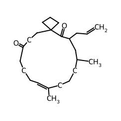 C=CCC1CC(C)CCC/C(C)=C/CCCC(=O)CCC2(CCC2)C1=O